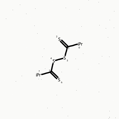 CC(C)C(=S)SSC(=S)C(C)C